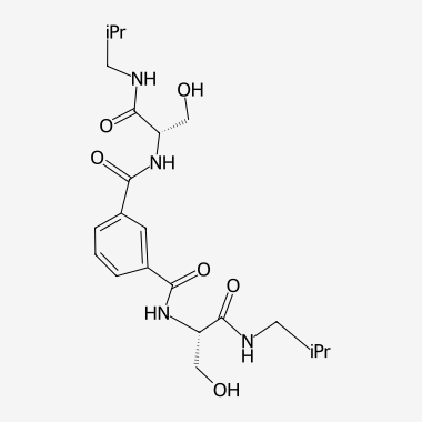 CC(C)CNC(=O)[C@H](CO)NC(=O)c1cccc(C(=O)N[C@@H](CO)C(=O)NCC(C)C)c1